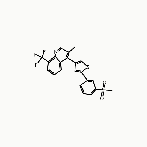 Cc1cnc2c(C(F)(F)F)cccc2c1-c1csc(-c2cccc(S(C)(=O)=O)c2)c1